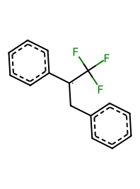 FC(F)(F)[C](Cc1ccccc1)c1ccccc1